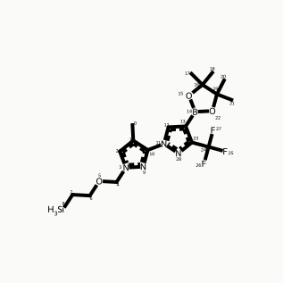 Cc1cn(COCC[SiH3])nc1-n1cc(B2OC(C)(C)C(C)(C)O2)c(C(F)(F)F)n1